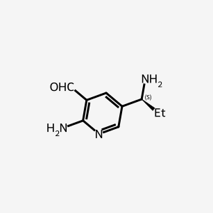 CC[C@H](N)c1cnc(N)c(C=O)c1